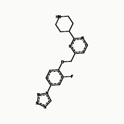 Fc1cc(-n2cnnn2)ccc1OCc1ccnc(C2CCNCC2)n1